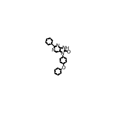 O=c1[nH]c2nc(-c3ccccc3)ncc2n1-c1ccc(Oc2ccccc2)cc1